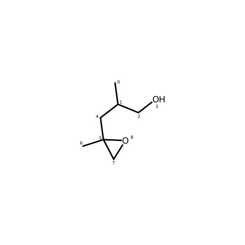 CC(CO)CC1(C)CO1